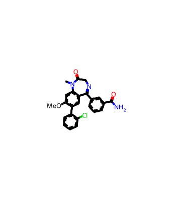 COc1cc2c(cc1-c1ccccc1Cl)C(c1cccc(C(N)=O)c1)=NCC(=O)N2C